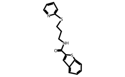 O=C(NCCCSc1ccccn1)c1cc2ccccc2s1